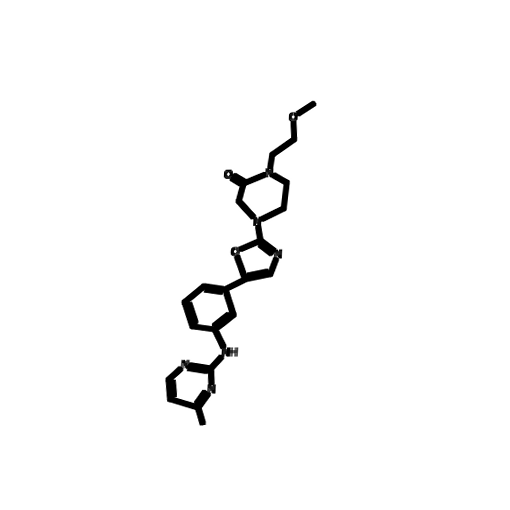 COCCN1CCN(c2ncc(-c3cccc(Nc4nccc(C)n4)c3)o2)CC1=O